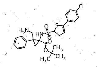 CC(C)(C)OC(=O)C1(NS(=O)(=O)C2CC=C(c3ccc(Cl)cc3)S2)CC1(CN)c1ccccc1